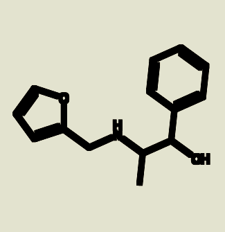 CC(NCc1ccco1)C(O)c1ccccc1